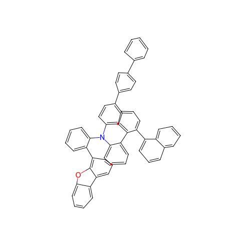 c1ccc(-c2ccc(-c3ccc(N(c4ccccc4-c4ccccc4-c4cccc5ccccc45)c4ccccc4-c4cccc5c4oc4ccccc45)cc3)cc2)cc1